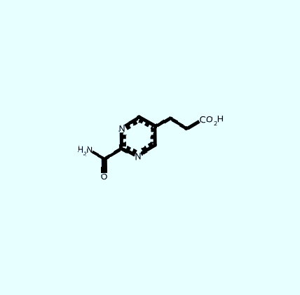 NC(=O)c1ncc(CCC(=O)O)cn1